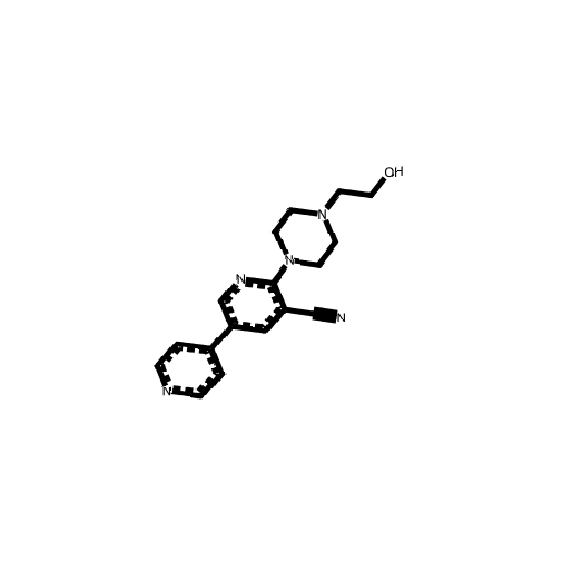 N#Cc1cc(-c2ccncc2)cnc1N1CCN(CCO)CC1